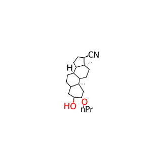 CCCO[C@H]1C[C@@]2(C)C(CC[C@@H]3C2CC[C@@]2(C)C3CC[C@H]2C#N)C[C@@H]1O